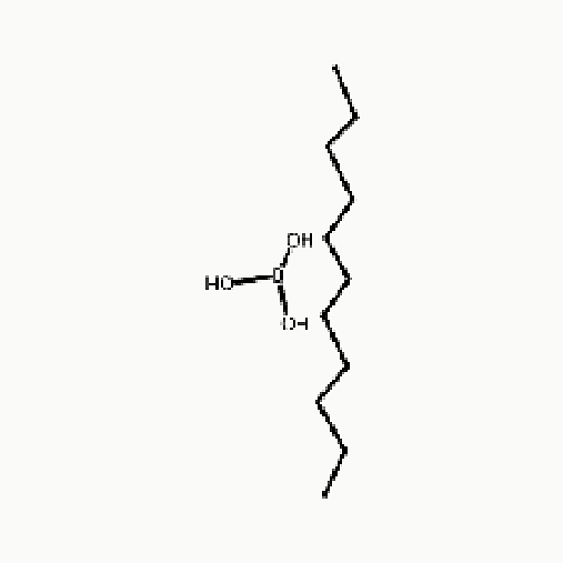 CCCCCCCCCCC.OB(O)O